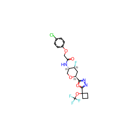 O=C(COc1ccc(Cl)cc1)N[C@H]1CO[C@H](c2nnc(C3(OC(F)(F)F)CCC3)o2)C[C@@H]1F